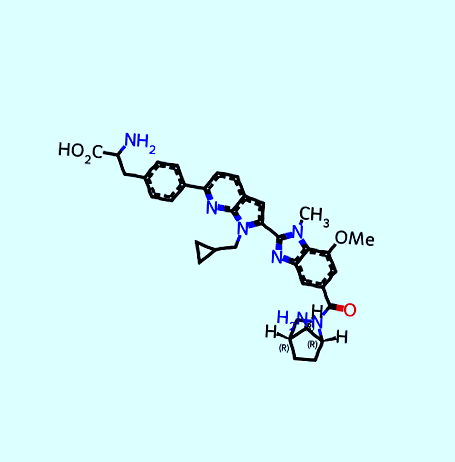 COc1cc(C(=O)N2C[C@H]3CC[C@@H]2[C@@H]3N)cc2nc(-c3cc4ccc(-c5ccc(CC(N)C(=O)O)cc5)nc4n3CC3CC3)n(C)c12